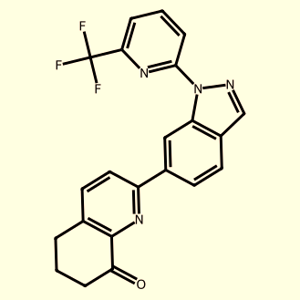 O=C1CCCc2ccc(-c3ccc4cnn(-c5cccc(C(F)(F)F)n5)c4c3)nc21